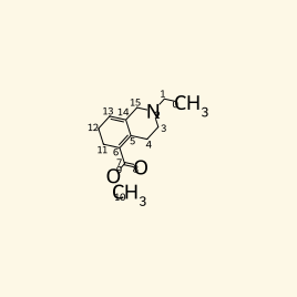 CCN1CCC2=C(C(=O)OC)CCC=C2C1